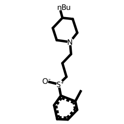 CCCCC1CCN(CCC[S+]([O-])c2ccccc2C)CC1